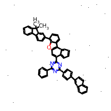 CC1(C)c2ccccc2-c2ccc(-c3cccc4c3oc3cc(-c5nc(-c6ccccc6)nc(-c6ccc(-c7ccc8ccccc8c7)cc6)n5)c5ccccc5c34)cc21